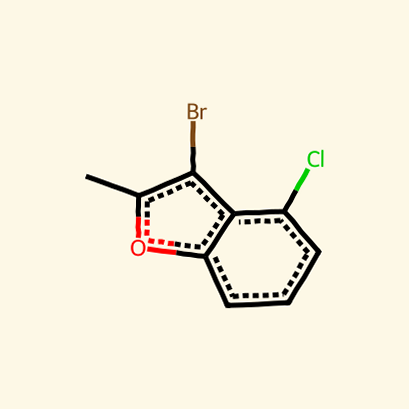 Cc1oc2cccc(Cl)c2c1Br